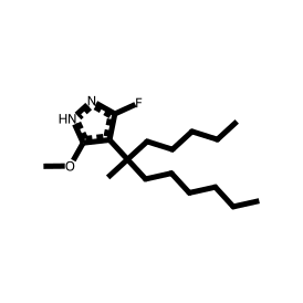 CCCCCCC(C)(CCCCC)c1c(F)n[nH]c1OC